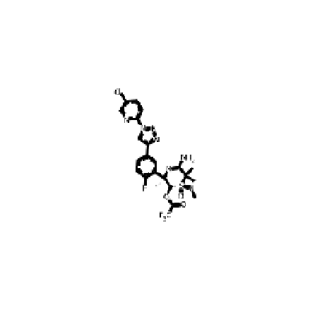 CN=[S@]1(=O)C(OC(=O)C(F)(F)F)[C@@](C)(c2cc(-c3cn(-c4ccc(Cl)cn4)nn3)ccc2F)N=C(N)C1(C)C